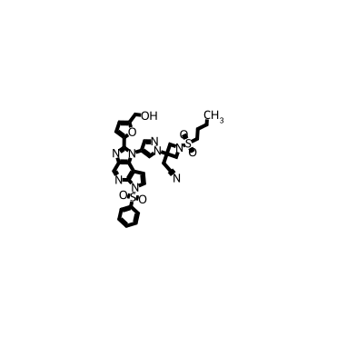 CCCCS(=O)(=O)N1CC(CC#N)(n2cc(-n3c(-c4ccc(CO)o4)nc4cnc5c(ccn5S(=O)(=O)c5ccccc5)c43)cn2)C1